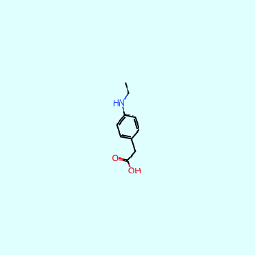 CCNc1ccc(CC(=O)O)cc1